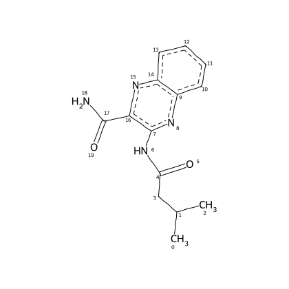 CC(C)CC(=O)Nc1nc2ccccc2nc1C(N)=O